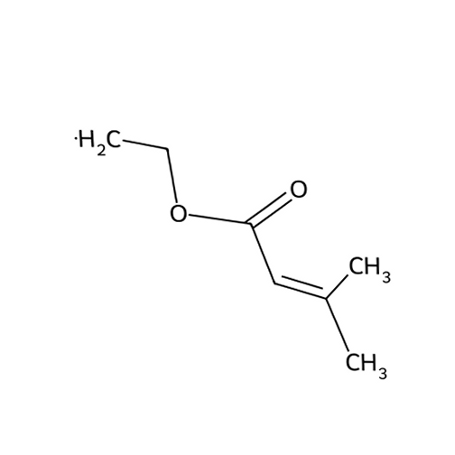 [CH2]COC(=O)C=C(C)C